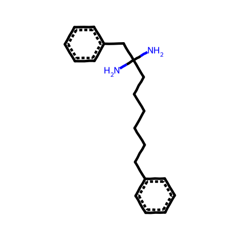 NC(N)(CCCCCCc1ccccc1)Cc1ccccc1